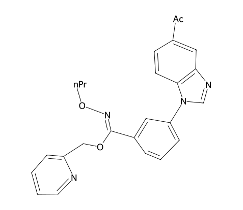 CCCON=C(OCc1ccccn1)c1cccc(-n2cnc3cc(C(C)=O)ccc32)c1